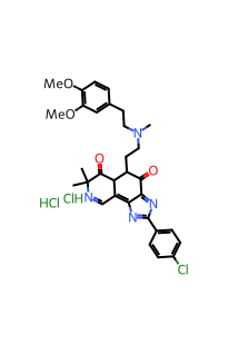 COc1ccc(CCN(C)CCC2C(=O)C3=NC(c4ccc(Cl)cc4)=NC3=C3C=NC(C)(C)C(=O)C32)cc1OC.Cl.Cl